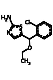 CCOC(c1cnc(N)s1)c1ccccc1Cl